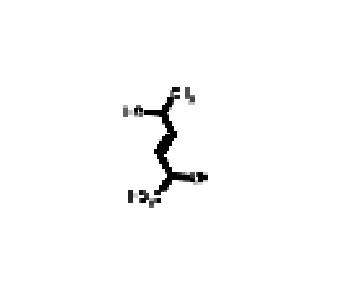 CC(O)C=CC(C)C(=O)O